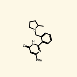 CCCCc1cc(=O)[nH]c(-c2ccccc2CN2CCCC2C)n1